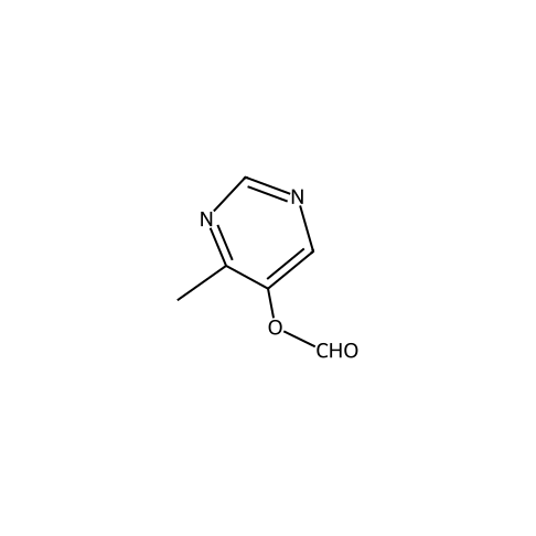 Cc1ncncc1OC=O